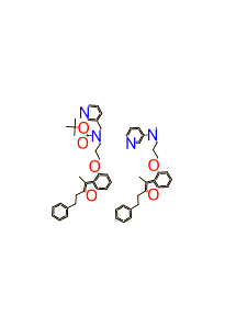 Cc1c(CCc2ccccc2)oc2cccc(OCCCN(C)c3cccnc3)c12.Cc1c(CCc2ccccc2)oc2cccc(OCCCN(Cc3cccnc3)C(=O)OC(C)(C)C)c12